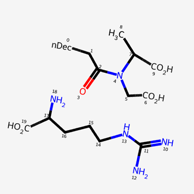 CCCCCCCCCCCC(=O)N(CC(=O)O)C(C)C(=O)O.N=C(N)NCCCC(N)C(=O)O